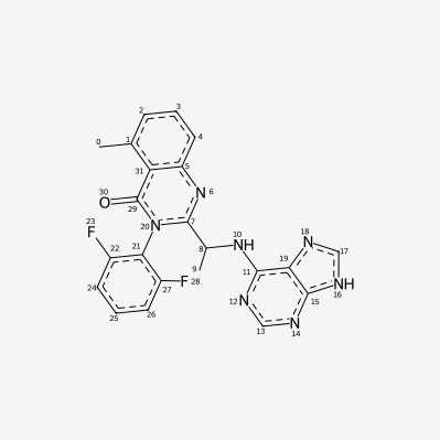 Cc1cccc2nc(C(C)Nc3ncnc4[nH]cnc34)n(-c3c(F)cccc3F)c(=O)c12